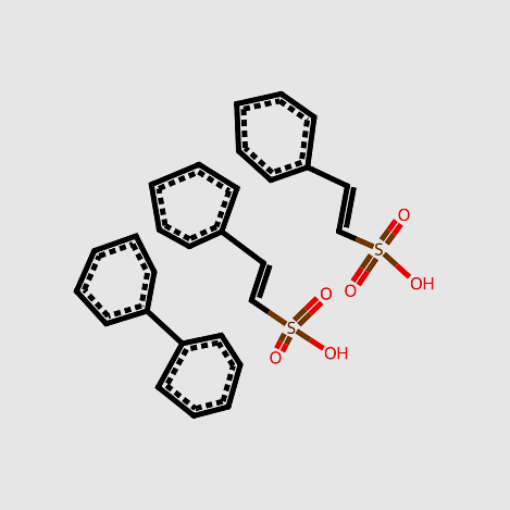 O=S(=O)(O)C=Cc1ccccc1.O=S(=O)(O)C=Cc1ccccc1.c1ccc(-c2ccccc2)cc1